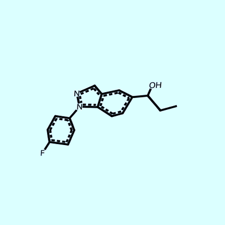 CCC(O)c1ccc2c(cnn2-c2ccc(F)cc2)c1